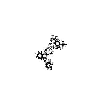 O=C(Nc1cc(C(F)(F)F)cc(C(F)(F)F)c1)N1CCCN(c2nccnc2OCc2ccncc2)CC1